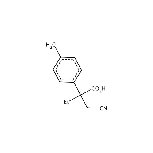 CCC(CC#N)(C(=O)O)c1ccc(C)cc1